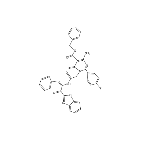 Nc1nc(-c2ccc(F)cc2)n(CC(=O)NC(=Cc2ccccc2)C(=O)c2nc3ccccc3o2)c(=O)c1C(=O)OCc1ccccc1